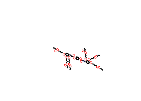 C=CCOOCCCCOc1ccc(/C=C/C(=O)Oc2ccc(OC(=O)/C=C/c3ccc(OCCCCOC(=O)C=C)c(OCCCCOC(=O)C=C)c3OCCCCOOCC=C)cc2)c(OCCCCOC(=O)C=C)c1OCCCCOOCC=C